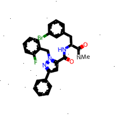 CNC(=O)C(Cc1cccc(Br)c1)NC(=O)c1cc(-c2ccccc2)nn1Cc1ccccc1F